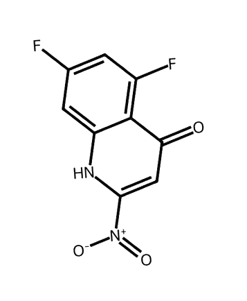 O=c1cc([N+](=O)[O-])[nH]c2cc(F)cc(F)c12